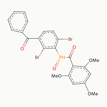 COc1cc(OC)c(C(=O)[PH](=O)c2c(Br)ccc(C(=O)c3ccccc3)c2Br)c(OC)c1